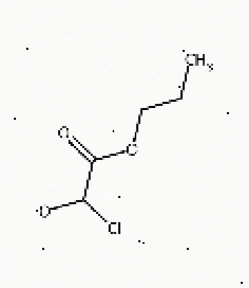 CCCOC(=O)C([O])Cl